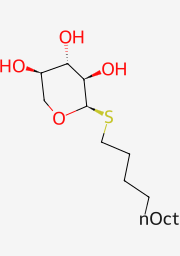 CCCCCCCCCCCCS[C@H]1OC[C@@H](O)[C@H](O)[C@H]1O